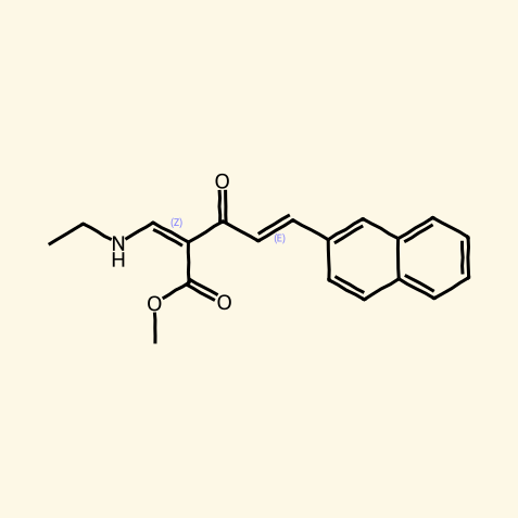 CCN/C=C(/C(=O)/C=C/c1ccc2ccccc2c1)C(=O)OC